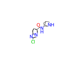 O=C(NC1CC2CNC1C2)c1ccc2nc(Cl)cn2c1